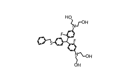 OCCN(CCO)c1ccc(C(c2ccc(SCc3ccccc3)cc2)c2ccc(N(CCO)CCO)cc2F)c(F)c1